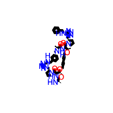 CN[C@@H](C)C(=O)N[C@H](C(=O)N1CCC[C@H]1Cn1nnnc1NCc1ccccc1)[C@@H](C)OCC#CC#CCO[C@H](C)[C@H](NC(=O)[C@H](C)NC)C(=O)N1CCC[C@H]1Cn1nnnc1NCc1ccccc1